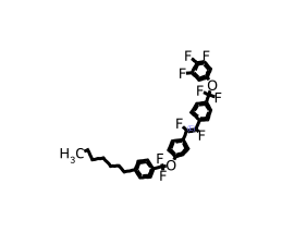 CCCCCCCc1ccc(C(F)(F)Oc2ccc(/C(F)=C(\F)c3ccc(C(F)(F)Oc4cc(F)c(F)c(F)c4)cc3)cc2)cc1